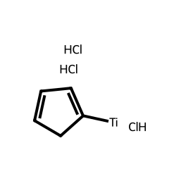 Cl.Cl.Cl.[Ti][C]1=CC=CC1